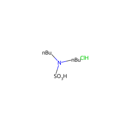 CCCCN(CCCC)S(=O)(=O)O.Cl